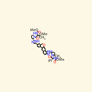 COC(=O)N[C@H](C(=O)N1[C@@H](C)CC[C@H]1c1nc2ccc3cc4c(cc3c2[nH]1)OCc1cc(-c2cnc([C@@H]3CCCN3C(=O)[C@@H](NC(=O)OC)[C@@H](C)OC)[nH]2)ccc1-4)C(C)C